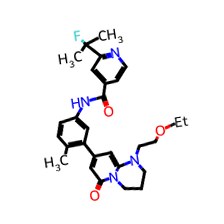 CCOCCN1CCCn2c1cc(-c1cc(NC(=O)c3ccnc(C(C)(C)F)c3)ccc1C)cc2=O